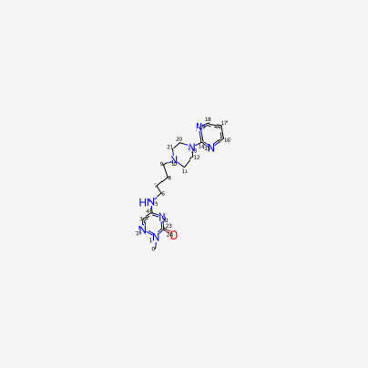 Cn1ncc(NCCCCN2CCN(c3ncccn3)CC2)nc1=O